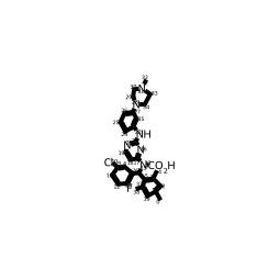 Cc1cc(C)c(C(c2cc(Cl)ccc2F)N(C(=O)O)c2ccnc(Nc3cccc(N4CCN(C)CC4)c3)n2)c(C)c1